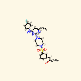 COC(=O)Cc1cccc(S(=O)(=O)N2CCN(c3nc(C)cc(Nc4ccc(F)cc4)n3)CC2)c1